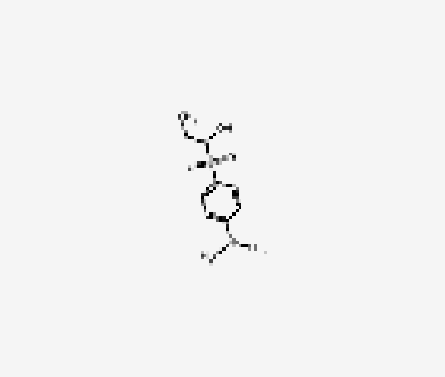 CCN(O)S(=O)(=O)c1ccc(N(C)C)cc1